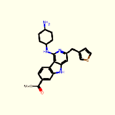 COC(=O)c1ccc2c(c1)[nH]c1cc(Cc3ccsc3)nc(NC3CCC(N)CC3)c12